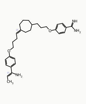 C/C=C(\N)c1ccc(OCCC/C=C2/CCCC(CCCOc3ccc(C(=N)N)cc3)CC2)cc1